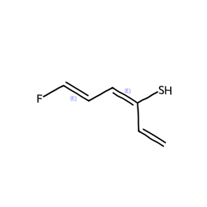 C=C/C(S)=C\C=C\F